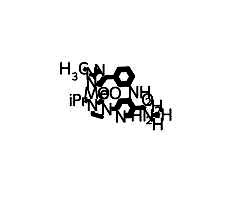 [2H]C([2H])([2H])NC(=O)c1cnc(N2CCN(C(C)C)C2=O)cc1Nc1cccc(-c2cnn(C)n2)c1OC